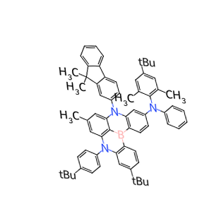 Cc1cc2c3c(c1)N(c1ccc(C(C)(C)C)cc1)c1cc(C(C)(C)C)ccc1B3c1ccc(N(c3ccccc3)c3c(C)cc(C(C)(C)C)cc3C)cc1N2c1ccc2c(c1)C(C)(C)c1ccccc1-2